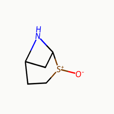 [O-][S+]1CCC2CC1N2